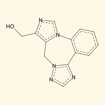 OCc1ncn2c1Cn1ncnc1-c1ccccc1-2